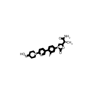 C[C@H](C(N)=O)C1CN(c2ccc(-c3ccc(N4CCC(=NO)CC4)nc3)c(F)c2)C(=O)O1